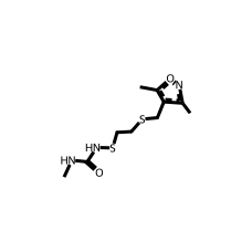 CNC(=O)NSCCSCc1c(C)noc1C